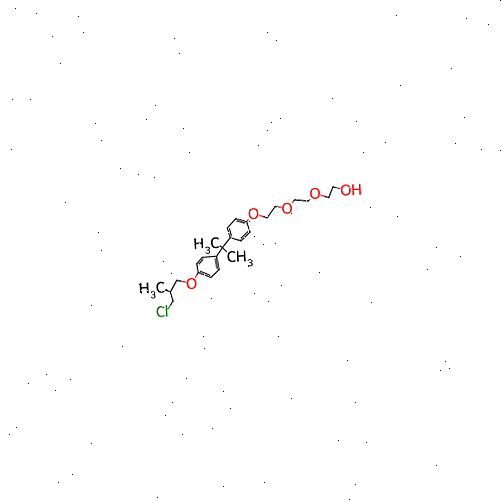 C[C@H](CCl)COc1ccc(C(C)(C)c2ccc(OCCOCCOCCO)cc2)cc1